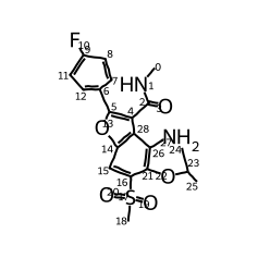 CNC(=O)c1c(-c2ccc(F)cc2)oc2cc(S(C)(=O)=O)c(OC(C)C)c(N)c12